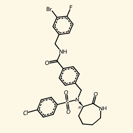 O=C(NCc1ccc(F)c(Br)c1)c1ccc(CN([C@@H]2CCCCNC2=O)S(=O)(=O)c2ccc(Cl)cc2)cc1